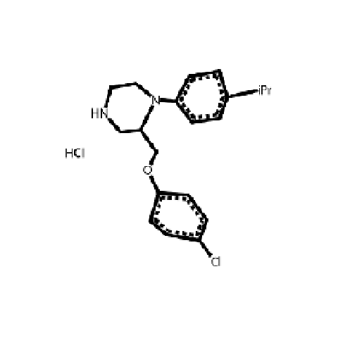 CC(C)c1ccc(N2CCNCC2COc2ccc(Cl)cc2)cc1.Cl